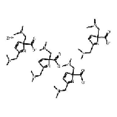 CN(C)CC1=NC(CN(C)C)(C(=O)[O-])C=C1.CN(C)CC1=NC(CN(C)C)(C(=O)[O-])C=C1.CN(C)CC1=NC(CN(C)C)(C(=O)[O-])C=C1.CN(C)CC1=NC(CN(C)C)(C(=O)[O-])C=C1.[Zr+4]